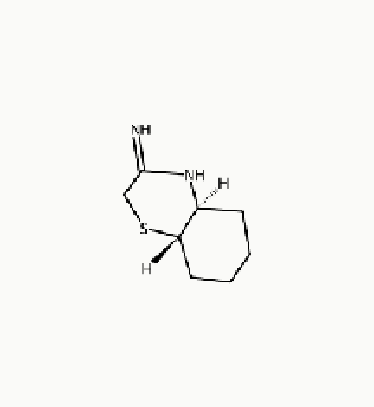 N=C1CS[C@H]2CCCC[C@@H]2N1